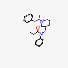 CCC(=O)N(CC1CCCN(C(C)Cc2ccccc2)C1)c1ccccc1